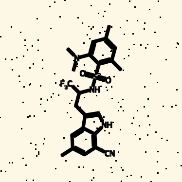 Cc1cc(C)c(S(=O)(=O)NC(Cc2c[nH]c3c(C#N)cc(C)cc23)C(F)(F)F)c(N(C)C)c1